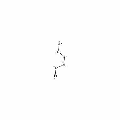 [CH2]C(=O)O/C=N\OCC